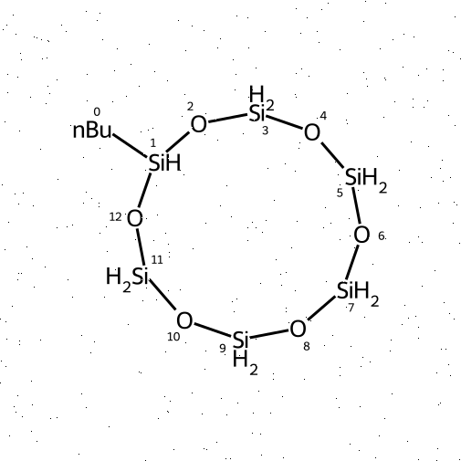 CCCC[SiH]1O[SiH2]O[SiH2]O[SiH2]O[SiH2]O[SiH2]O1